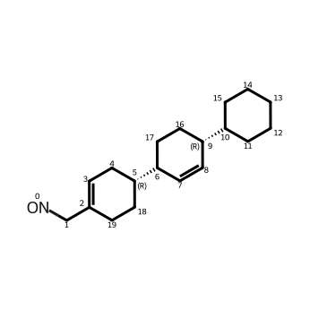 O=NCC1=CC[C@H](C2C=C[C@@H](C3CCCCC3)CC2)CC1